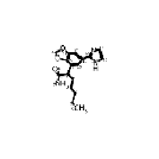 CCCCCC(C(N)=O)c1cc(-c2ncc[nH]2)cc2c1OCO2